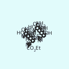 CCOC(=O)c1cn(-c2ccc(O)c3c2C[C@@H]2C[C@@H]4[C@H](N(C)C)C(O)=C(C(N)=O)C(=O)[C@]4(O)C(O)=C2C3=O)nn1.CCOC(=O)c1cnnn1-c1ccc(O)c2c1CC1CC3C(N(C)C)C(O)=C(C(N)=O)C(=O)C3(O)C(O)=C1C2=O